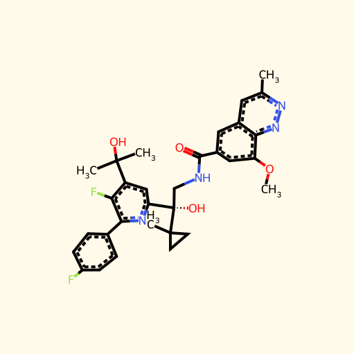 COc1cc(C(=O)NC[C@](O)(c2cc(C(C)(C)O)c(F)c(-c3ccc(F)cc3)n2)C2(C)CC2)cc2cc(C)nnc12